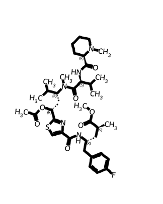 COC(=O)[C@@H](C)C[C@H](Cc1ccc(F)cc1)NC(=O)c1csc([C@@H](C[C@H](C(C)C)N(C)C(=O)[C@@H](NC(=O)[C@H]2CCCCN2C)C(C)C)OC(C)=O)n1